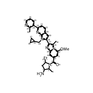 CCC1CC(N)C(C)N1C(=O)c1cc(OC)n2c(C)c(-c3cc4ccc(-c5cccnc5C)nc4n3CC3CC3)nc2c1